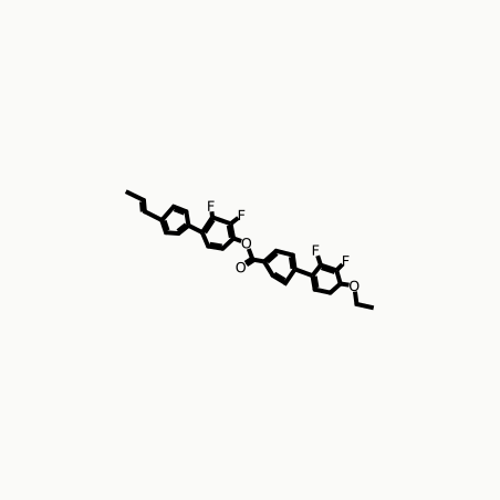 C/C=C/c1ccc(-c2ccc(OC(=O)c3ccc(C4=CCC(OCC)C(F)=C4F)cc3)c(F)c2F)cc1